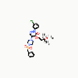 COC(C)(C)CCOc1c(N2CCN(S(=O)(=O)Cc3ccccc3)CC2)cnn(-c2cccc(Cl)c2)c1=O